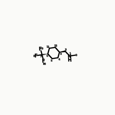 CNC[C@H]1CC[C@H](C(F)(F)F)CC1